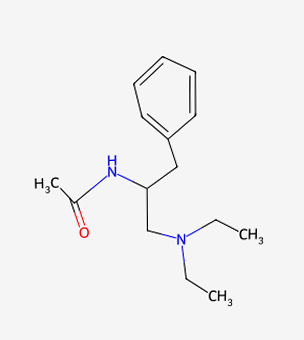 CCN(CC)CC(Cc1ccccc1)NC(C)=O